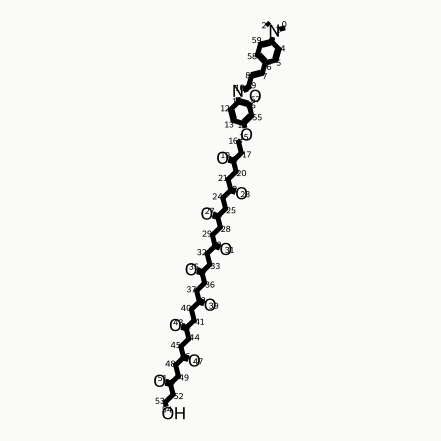 CN(C)c1ccc(C=Cc2nc3ccc(OCCC(=O)CCC(=O)CCC(=O)CCC(=O)CCC(=O)CCC(=O)CCC(=O)CCC(=O)CCC(=O)CCO)cc3o2)cc1